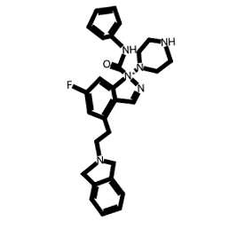 O=C(Nc1ccccc1)[N+]1(N2CCNCC2)N=Cc2c(CCN3Cc4ccccc4C3)cc(F)cc21